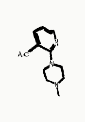 CC(=O)c1cccnc1N1CCN(C)CC1